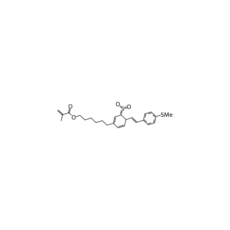 C=C(C)C(=O)OCCCCCCC1=CC(=S(=O)=O)C(C=Cc2ccc(SC)cc2)C=C1